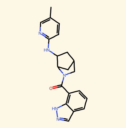 Cc1ccc(NC2CC3CC2N(C(=O)c2cccc4cn[nH]c24)C3)nc1